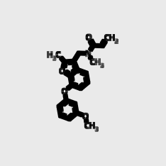 C=CC(=O)N(C)Cc1c(C)oc2c(Oc3cccc(OC)c3)cccc12